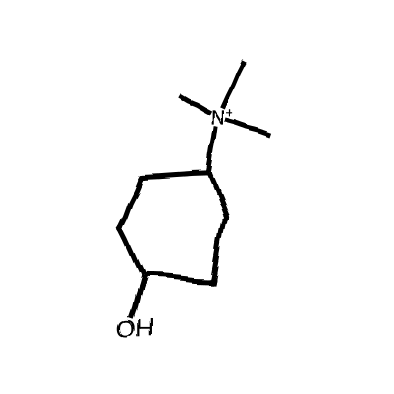 C[N+](C)(C)C1CCC(O)CC1